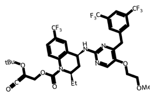 CC[C@@H]1C[C@H](Nc2ncc(OCCOC)c(Cc3cc(C(F)(F)F)cc(C(F)(F)F)c3)n2)c2cc(C(F)(F)F)ccc2N1C(=O)OCC(=C=O)OC(C)(C)C